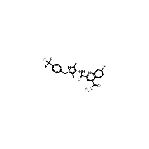 Cc1nn(Cc2ccc(C(F)(F)F)cc2)c(C)c1NC(=O)c1cc(C(N)=O)c2ccc(F)cc2n1